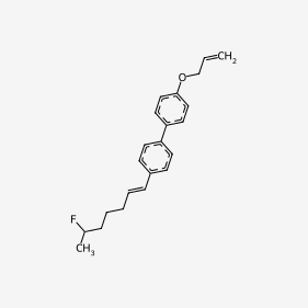 C=CCOc1ccc(-c2ccc(C=CCCCC(C)F)cc2)cc1